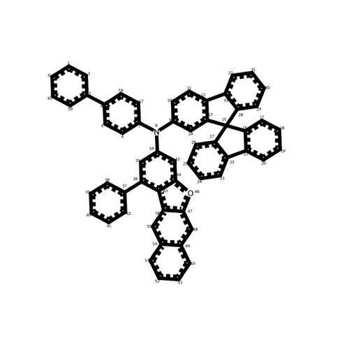 c1ccc(-c2ccc(N(c3ccc4c(c3)C3(c5ccccc5-c5ccccc53)c3ccccc3-4)c3cc(-c4ccccc4)c4c(c3)oc3cc5ccccc5cc34)cc2)cc1